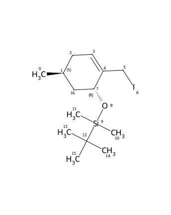 C[C@H]1CC=C(CI)[C@H](O[Si](C)(C)C(C)(C)C)C1